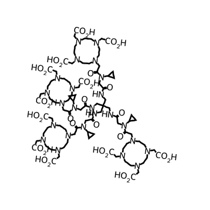 O=C(O)CN1CCN(CC(=O)O)CCN(CC(=O)N(CC(=O)NCC(CNC(=O)CN(C(=O)CN2CCN(CC(=O)O)CCN(CC(=O)O)CCN(CC(=O)O)CC2)C2CC2)(CNC(=O)CN(C(=O)CN2CCN(CC(=O)O)CCN(CC(=O)O)CCN(CC(=O)O)CC2)C2CC2)CNC(=O)CN(C(=O)CN2CCN(CC(=O)O)CCN(CC(=O)O)CCN(CC(=O)O)CC2)C2CC2)C2CC2)CCN(CC(=O)O)CC1